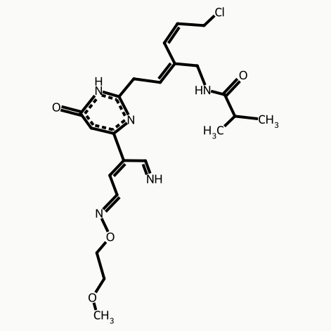 COCCO/N=C/C=C(\C=N)c1cc(=O)[nH]c(C/C=C(\C=C/CCl)CNC(=O)C(C)C)n1